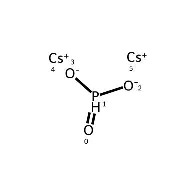 O=[PH]([O-])[O-].[Cs+].[Cs+]